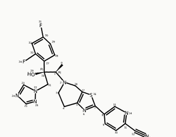 C[C@@H](N1CCc2nc(-c3ccc(C#N)nc3)sc2C1)[C@](O)(Cn1cncn1)c1ccc(F)cc1F